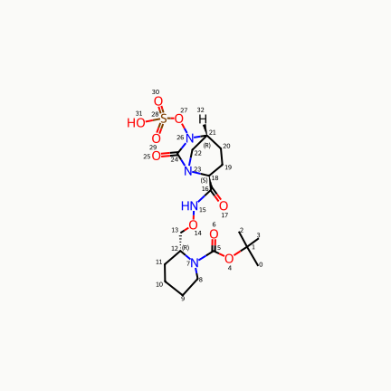 CC(C)(C)OC(=O)N1CCCC[C@@H]1CONC(=O)[C@@H]1CC[C@@H]2CN1C(=O)N2OS(=O)(=O)O